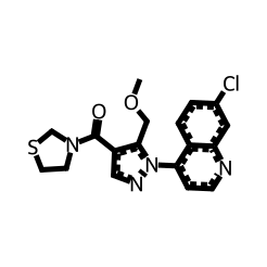 COCc1c(C(=O)N2CCSC2)cnn1-c1ccnc2cc(Cl)ccc12